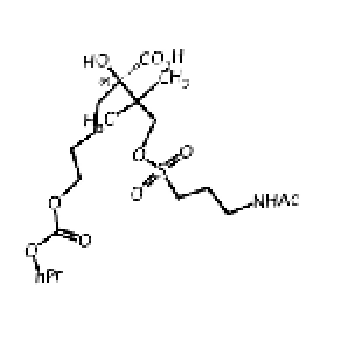 CCCOC(=O)OCCCC[C@](O)(C(=O)O)C(C)(C)COS(=O)(=O)CCCNC(C)=O